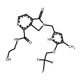 Cc1cc(CN2Cc3c(ccnc3C(=O)NCCO)C2=O)[nH]c1OCC(F)(F)F